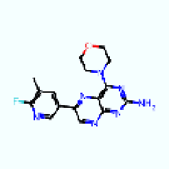 Cc1cc(-c2cnc3nc(N)nc(N4CCOCC4)c3n2)cnc1F